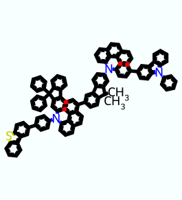 CC1(C)c2ccc(-c3cccc4c3ccc3cccc(N(c5ccc(-c6ccc7sc8ccccc8c7c6)cc5)c5ccc6c(c5)C(c5ccccc5)(c5ccccc5)c5ccccc5-6)c34)cc2-c2ccc(N(c3ccc(-c4ccc5c(c4)c4ccccc4n5-c4ccccc4)cc3)c3cccc4ccc5ccccc5c34)cc21